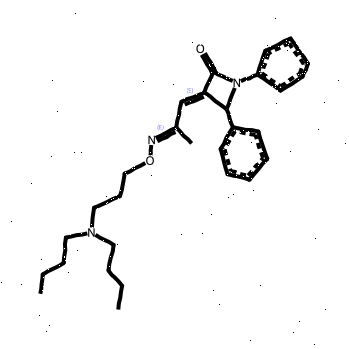 CCCCN(CCCC)CCCO/N=C(C)/C=C1/C(=O)N(c2ccccc2)C1c1ccccc1